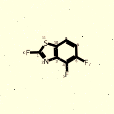 Fc1nc2c(F)c(F)ccc2s1